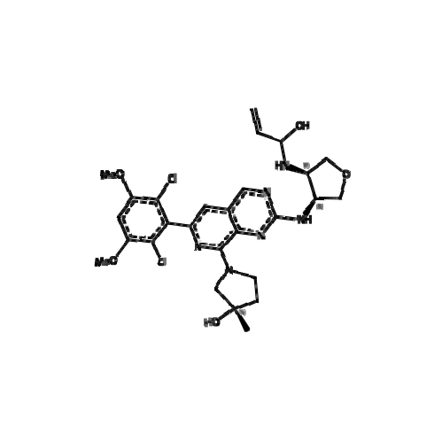 C=CC(O)N[C@H]1COC[C@H]1Nc1ncc2cc(-c3c(Cl)c(OC)cc(OC)c3Cl)nc(N3CC[C@](C)(O)C3)c2n1